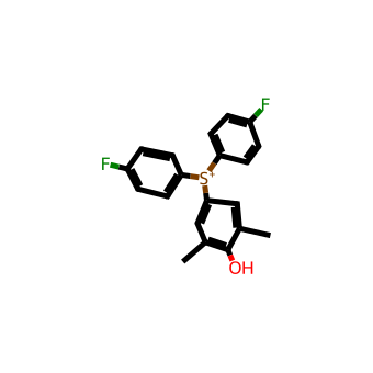 Cc1cc([S+](c2ccc(F)cc2)c2ccc(F)cc2)cc(C)c1O